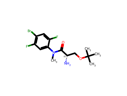 CN(C(=O)[C@@H](N)COC(C)(C)C)c1cc(F)c(Br)cc1F